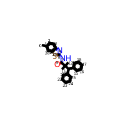 Cc1ccc2nc(NC(=O)C(C)(C)C(c3ccccc3)c3ccccc3)sc2c1